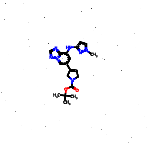 Cn1ccc(Nc2cc(C3=CCN(C(=O)OC(C)(C)C)C3)cn3ncnc23)n1